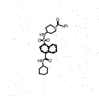 CCCC(=O)N1CCC(NS(=O)(=O)c2ccc(C(=O)NC3CCCCC3)c3ccccc23)CC1